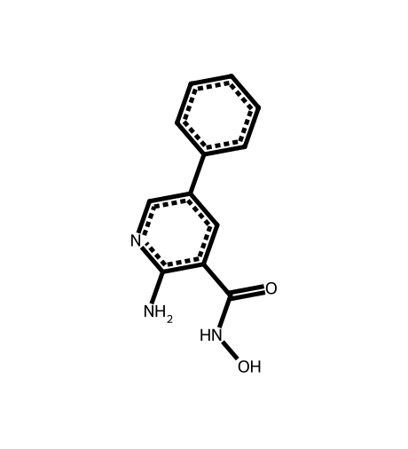 Nc1ncc(-c2ccccc2)cc1C(=O)NO